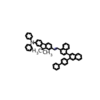 CC1(C)c2cc(/C=C/c3ccc(-c4cc5ccccc5cc4-c4ccc(-c5ccccc5)cc4)c4ccccc34)ccc2-c2ccc(N(c3ccccc3)c3ccccc3)cc21